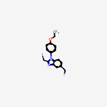 FC(F)(F)COc1ccc(-n2c(CI)nc3cc(CI)ccc32)cc1